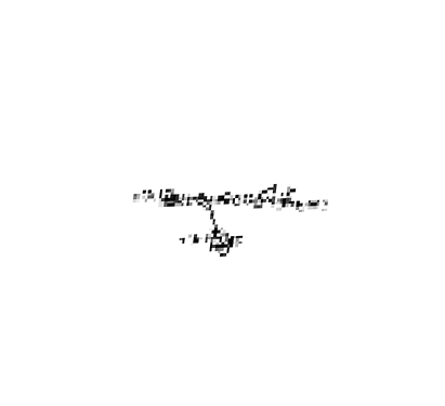 CCCCCCCCC(CCCCCCCC)OC(=O)CCCCCCCOCC(COCCOCCOCCOCCOC(=O)CNCCOC(=O)CNCCOC)OCCCCCCCC(=O)OC(CCCCCCCC)CCCCCCCC.O=C(O)C(F)(F)F